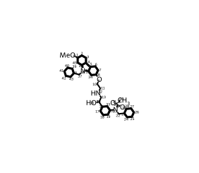 COc1ccc2c3ccc(OCCNC[C@H](O)c4cccc(N(Cc5ccccc5)S(C)(=O)=O)c4)cc3n(Cc3ccccc3)c2c1